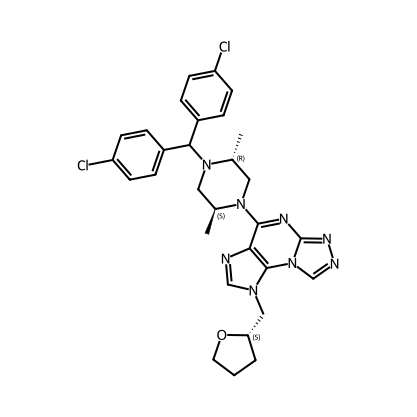 C[C@@H]1CN(c2nc3nncn3c3c2ncn3C[C@@H]2CCCO2)[C@@H](C)CN1C(c1ccc(Cl)cc1)c1ccc(Cl)cc1